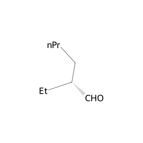 CCCC[C@H](C=O)CC